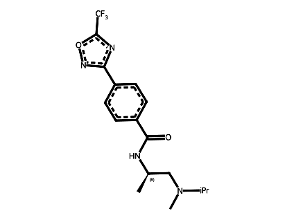 CC(C)N(C)C[C@@H](C)NC(=O)c1ccc(-c2noc(C(F)(F)F)n2)cc1